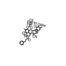 COc1c(C)cc2c(c1O)C1C3Cc4c(OC(=O)C(F)(F)C(F)(F)C(F)(F)F)c(C)c5c(c4[C@H](CNC(=O)CCc4ccccc4)N3[C@@H](C#N)C(C2)N1C)OCO5